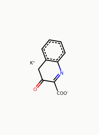 O=C([O-])C1=Nc2ccccc2CC1=O.[K+]